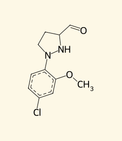 COc1cc(Cl)ccc1N1CCC(C=O)N1